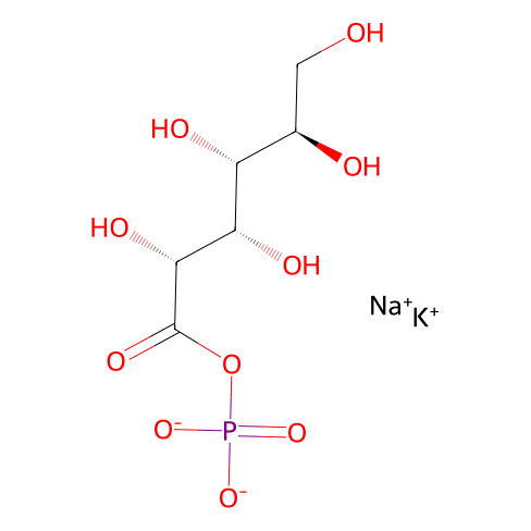 O=C(OP(=O)([O-])[O-])[C@H](O)[C@@H](O)[C@H](O)[C@H](O)CO.[K+].[Na+]